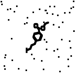 CCOC(=O)c1ccc(CCCI)cc1